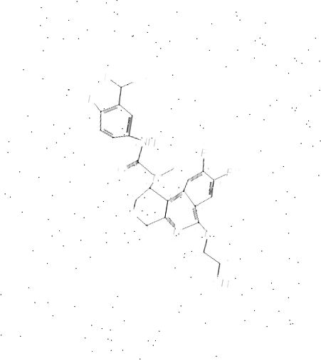 CN(C(=O)Nc1ccc(F)c(C(F)F)c1)C1COCc2nc(NCCO)c3cc(F)c(F)cc3c21